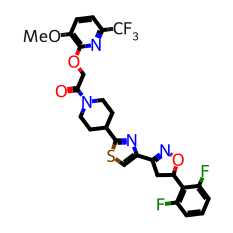 COc1ccc(C(F)(F)F)nc1OCC(=O)N1CCC(c2nc(C3=NOC(c4c(F)cccc4F)C3)cs2)CC1